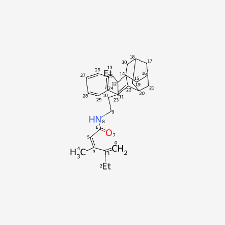 C=C(CC)C(C)=CC(=O)NCCCC(CC)C12CC3CC(CC(C3)C1=Cc1ccccc1)C2